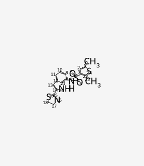 Cc1cc(S(=O)(=O)Nc2cccc3cc(C4=NCCS4)[nH]c23)c(C)s1